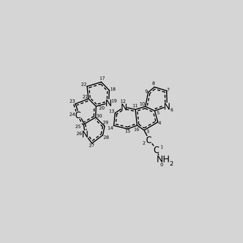 NCCc1cc2ncccc2c2ncccc12.c1cnc2c(c1)ccc1ncccc12